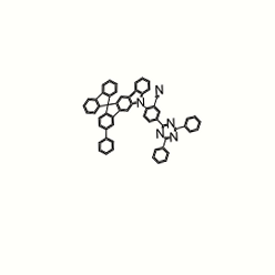 N#Cc1cc(-c2nc(-c3ccccc3)nc(-c3ccccc3)n2)ccc1-n1c2ccccc2c2cc3c(cc21)-c1cc(-c2ccccc2)ccc1C31c2ccccc2-c2ccccc21